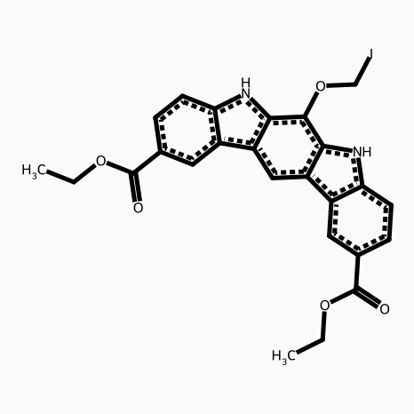 CCOC(=O)c1ccc2[nH]c3c(OCI)c4[nH]c5ccc(C(=O)OCC)cc5c4cc3c2c1